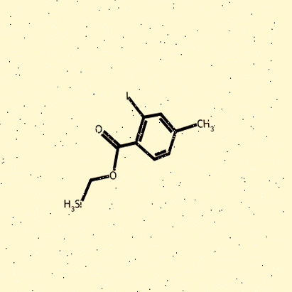 Cc1ccc(C(=O)OC[SiH3])c(I)c1